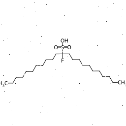 CCCCCCCCCCCC(F)(CCCCCCCCCCC)S(=O)(=O)O